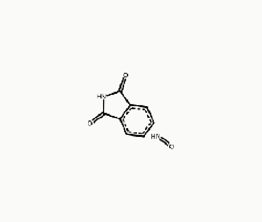 N=O.O=C1NC(=O)c2ccccc21